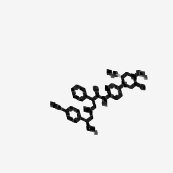 C[C@H](CNCC(C(=O)Nc1ccc(N2CC(=O)N(C)C[C@H]2C)cn1)c1ccccc1)c1ccc(C#N)cc1